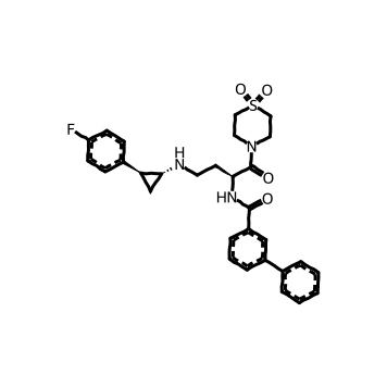 O=C(N[C@@H](CCN[C@@H]1C[C@H]1c1ccc(F)cc1)C(=O)N1CCS(=O)(=O)CC1)c1cccc(-c2ccccc2)c1